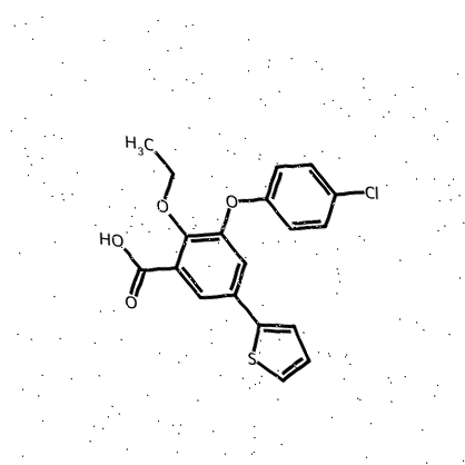 CCOc1c(Oc2ccc(Cl)cc2)cc(-c2cccs2)cc1C(=O)O